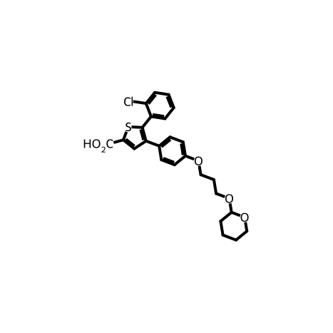 O=C(O)c1cc(-c2ccc(OCCCOC3CCCCO3)cc2)c(-c2ccccc2Cl)s1